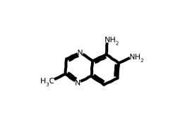 Cc1cnc2c(N)c(N)ccc2n1